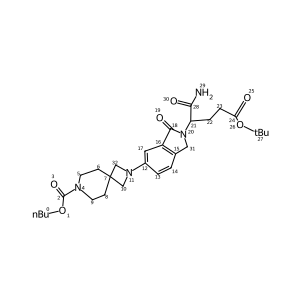 CCCCOC(=O)N1CCC2(CC1)CN(c1ccc3c(c1)C(=O)N(C(CCC(=O)OC(C)(C)C)C(N)=O)C3)C2